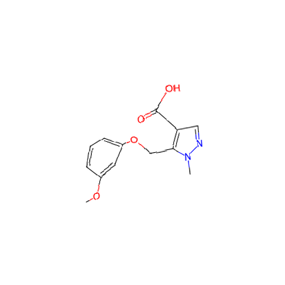 COc1cccc(OCc2c(C(=O)O)cnn2C)c1